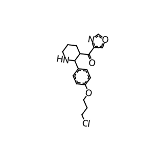 O=C(c1cocn1)C1CCCNC1c1ccc(OCCCCl)cc1